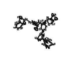 Cc1cc(N2CCN(Cc3ccc4c(c3)OCO4)C(CC(=O)NCCC3OCc4ccccc4O3)C2)nc(-n2ccnc2)n1